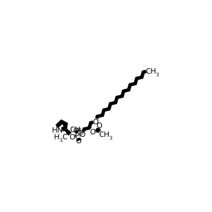 CCCCCCCCCCCCCCCCOCC(COP(=O)(O)OC(C)(C)c1ccc[nH]1)OC(C)=O